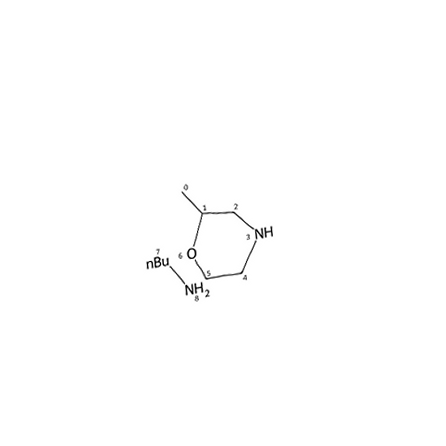 CC1CNCCO1.CCCCN